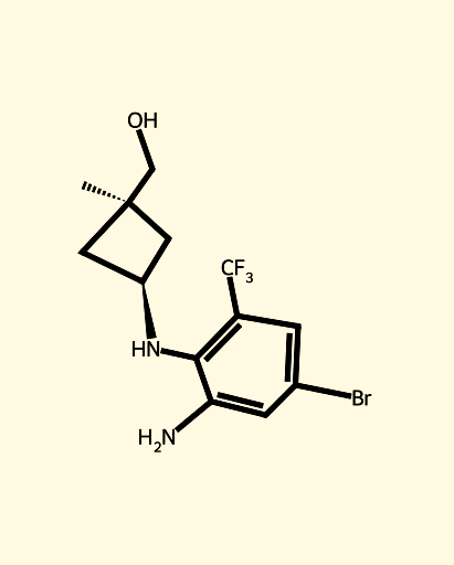 C[C@]1(CO)C[C@@H](Nc2c(N)cc(Br)cc2C(F)(F)F)C1